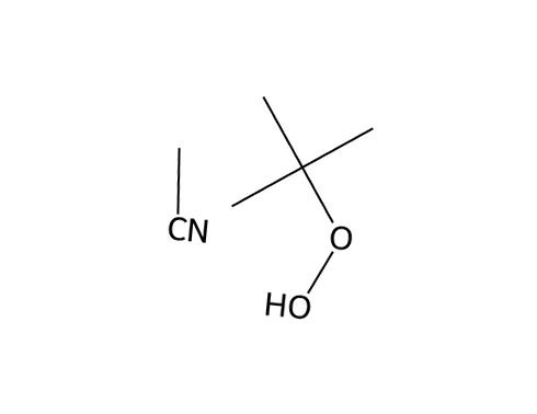 CC#N.CC(C)(C)OO